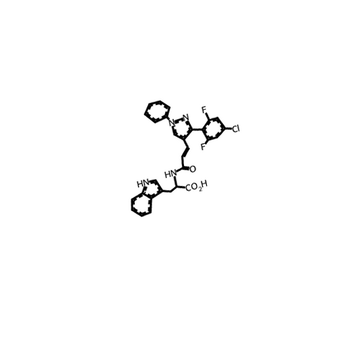 O=C(/C=C/c1cn(-c2ccccc2)nc1-c1c(F)cc(Cl)cc1F)NC(Cc1c[nH]c2ccccc12)C(=O)O